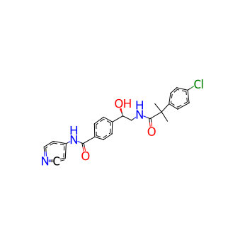 CC(C)(C(=O)NC[C@H](O)c1ccc(C(=O)Nc2ccncc2)cc1)c1ccc(Cl)cc1